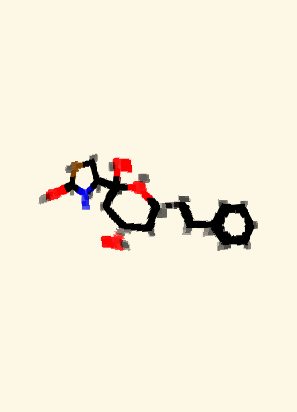 O=C1NC(C2(O)C[C@@H](O)C[C@@H](CCc3ccccc3)O2)CS1